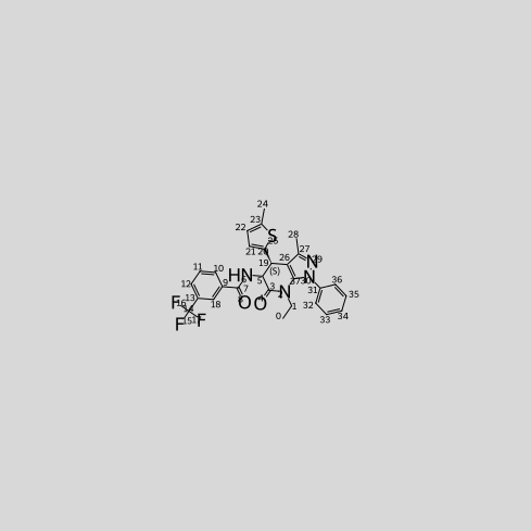 CCN1C(=O)C(NC(=O)c2cccc(C(F)(F)F)c2)[C@@H](c2ccc(C)s2)c2c(C)nn(-c3ccccc3)c21